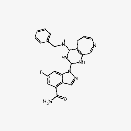 NC(=O)c1cc(F)cc2c1cnn2C1NC2=C(CC=CN=C2)C(NCc2ccccc2)N1